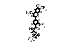 CC(CS(=O)(=O)CC(F)(F)F)NC(=O)c1ccc(/C(F)=C/C(c2ccc(C(F)(F)F)c(Cl)c2)C(F)(F)F)cc1C(F)(F)F